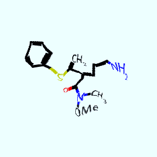 C=C(Sc1ccccc1)/C(=C\C=C/N)C(=O)N(C)OC